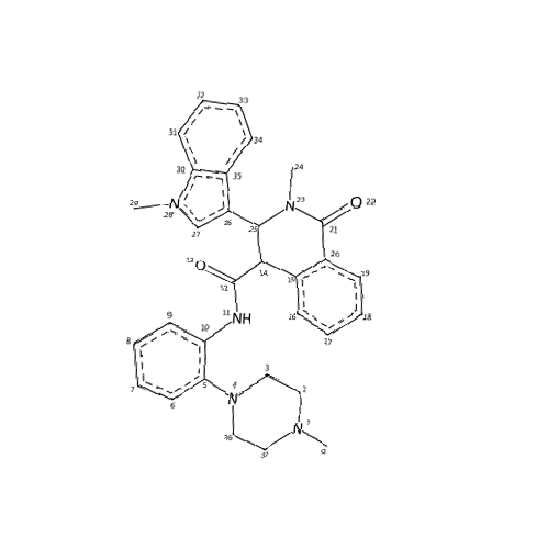 CN1CCN(c2ccccc2NC(=O)C2c3ccccc3C(=O)N(C)C2c2cn(C)c3ccccc23)CC1